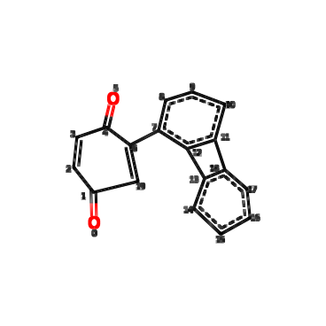 O=C1C=CC(=O)C(c2cccc3c2-c2ccccc2-3)=C1